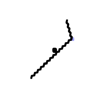 CCCCCCCC/C=C\CCCCCCCCC(=O)CCCCCCC=CCCCCCCCCC